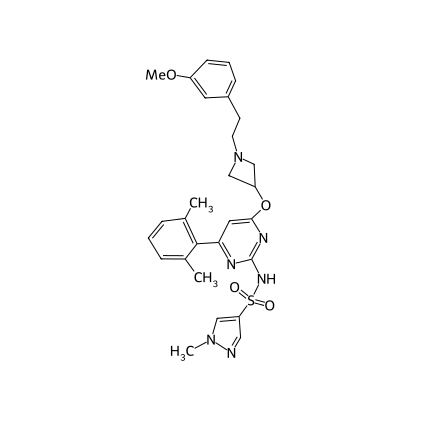 COc1cccc(CCN2CC(Oc3cc(-c4c(C)cccc4C)nc(NS(=O)(=O)c4cnn(C)c4)n3)C2)c1